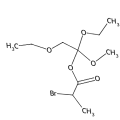 CCOCC(OC)(OCC)OC(=O)C(C)Br